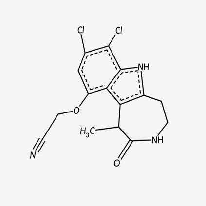 CC1C(=O)NCCc2[nH]c3c(Cl)c(Cl)cc(OCC#N)c3c21